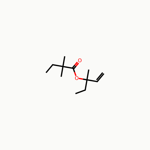 C=CC(C)(CC)OC(=O)C(C)(C)CC